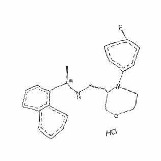 C[C@@H](NCC1COCCN1c1ccc(F)cc1)c1cccc2ccccc12.Cl